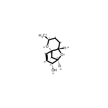 C[C@H]1CC[C@@H]2O[C@@H]3C[C@]2(C=C[C@H]3O)O1